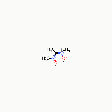 C/C([N+](C)=O)=[N+](\C)[O-]